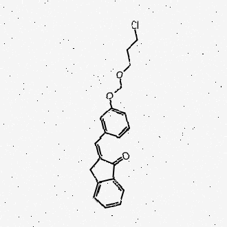 O=C1C(=Cc2cccc(OCOCCCCl)c2)Cc2ccccc21